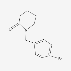 O=C1CCCCN1Cc1ccc(Br)cc1